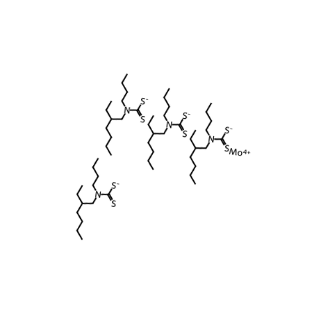 CCCCC(CC)CN(CCCC)C(=S)[S-].CCCCC(CC)CN(CCCC)C(=S)[S-].CCCCC(CC)CN(CCCC)C(=S)[S-].CCCCC(CC)CN(CCCC)C(=S)[S-].[Mo+4]